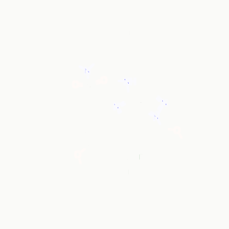 CCN(c1ccc(F)cc1CNc1nc(-c2cc(F)c(OCc3ccccc3)cc2CC(F)(F)F)cc2c1c(I)nn2C1CCCCO1)S(C)(=O)=O